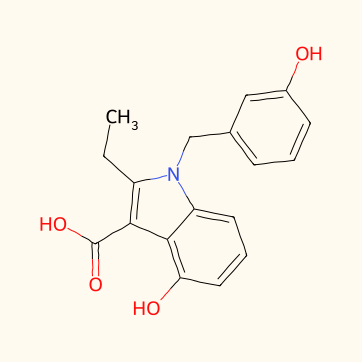 CCc1c(C(=O)O)c2c(O)cccc2n1Cc1cccc(O)c1